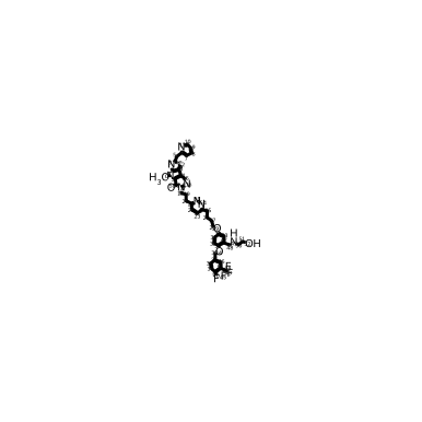 Cn1c2nc(Cc3ccccn3)sc2c2cnn(CCCc3ccc(CCCCOc4ccc(OCc5ccc(F)c(C(F)(F)F)c5)c(CNCCO)c4)nn3)c(=O)c21